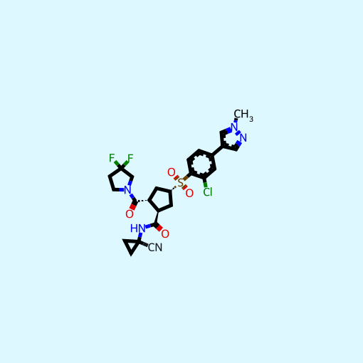 Cn1cc(-c2ccc(S(=O)(=O)[C@@H]3C[C@@H](C(=O)NC4(C#N)CC4)[C@H](C(=O)N4CCC(F)(F)C4)C3)c(Cl)c2)cn1